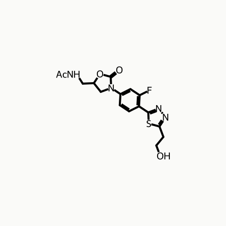 CC(=O)NCC1CN(c2ccc(-c3nnc(CCO)s3)c(F)c2)C(=O)O1